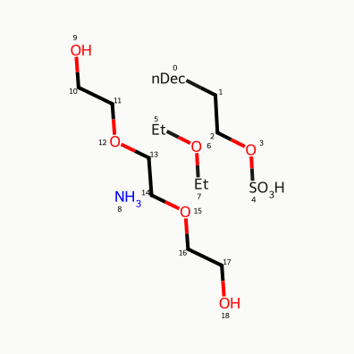 CCCCCCCCCCCCOS(=O)(=O)O.CCOCC.N.OCCOCCOCCO